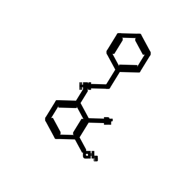 Cc1cccc(NCc2ccccc2)c1Br